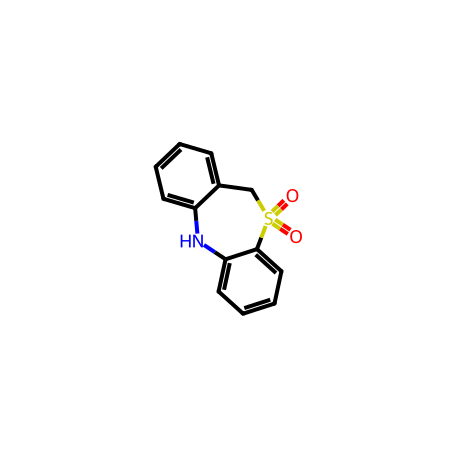 O=S1(=O)Cc2ccccc2Nc2ccccc21